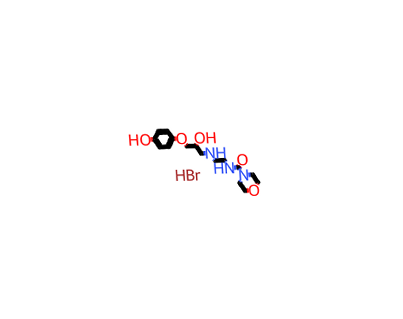 Br.O=C(NCCNCC(O)COc1ccc(O)cc1)N1CCOCC1